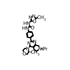 Cc1nnc(NC(=O)Nc2ccc(-c3nc4c(c(N5CCOC[C@@H]5C)n3)CCN(C(C)C)C4)cc2)o1